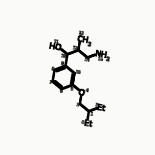 CCC(CC)COc1cccc(C(O)C(C)CN)c1